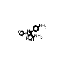 Nc1ccc(-c2nn(C3CCOC3)c3ncnc(N)c23)cc1